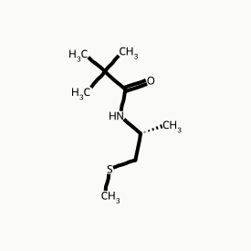 CSC[C@@H](C)NC(=O)C(C)(C)C